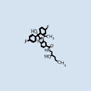 CCCC(O)CNC(=O)c1ccc2nc(C(O)(c3ccc(F)cc3)c3ccc(F)cc3)n(CC)c2c1